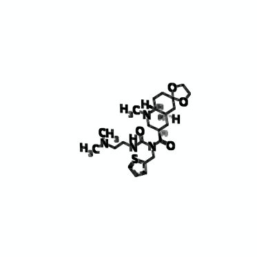 CN(C)CCNC(=O)N(Cc1cccs1)C(=O)[C@@H]1C[C@@H]2CC3(CC[C@H]2N(C)C1)OCCO3